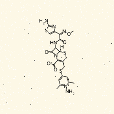 CO/N=C(\C(=O)NC1C(=O)N2C(C(=O)[O-])=C(CSc3cc(C)[n+](N)c(C)c3)CS[C@@H]12)c1csc(N)n1